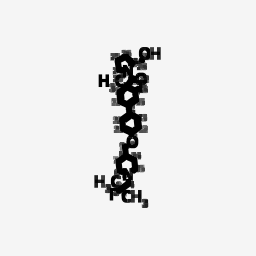 CC(C)(F)CN1CCC(COc2ccc(C3=CC(F)C(C)(C(=O)N4CCC[C@@H]4CO)C=C3)cc2)CC1